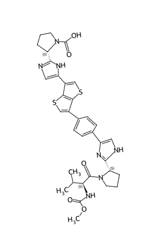 COC(=O)N[C@H](C(=O)N1CCC[C@H]1c1nc(-c2ccc(-c3csc4c(-c5cnc([C@@H]6CCCN6C(=O)O)[nH]5)csc34)cc2)c[nH]1)C(C)C